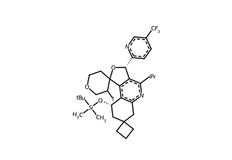 CC(C)c1nc2c(c3c1[C@@H](c1ccc(C(F)(F)F)cn1)OC31CCOCC1I)[C@@H](O[Si](C)(C)C(C)(C)C)CC1(CCC1)C2